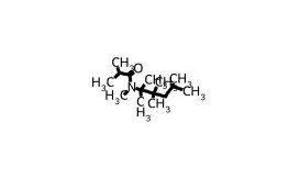 CC(C)CC(C)(C)C(C)(C)N(C)C(=O)C(C)C